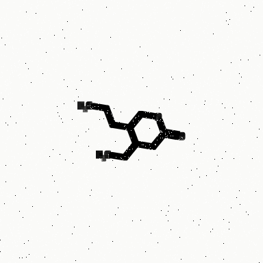 CCCC1COC(=O)CC1CC